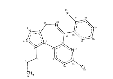 CCCc1nnc2n1-c1ccc(Cl)nc1C(c1ccccc1F)=NC2